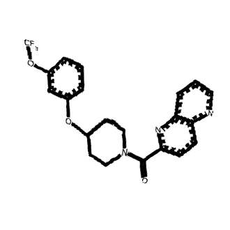 O=C(c1ccc2ncccc2n1)N1CCC(Oc2cccc(OC(F)(F)F)c2)CC1